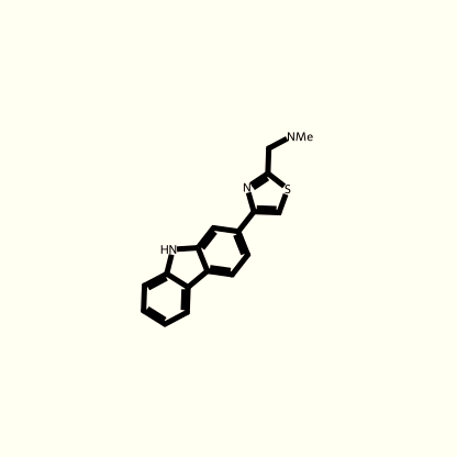 CNCc1nc(-c2ccc3c(c2)[nH]c2ccccc23)cs1